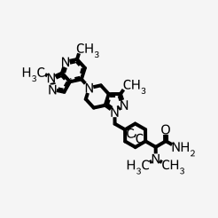 Cc1cc(N2CCc3c(c(C)nn3CC34CCC(C(C(N)=O)N(C)C)(CC3)CC4)C2)c2cnn(C)c2n1